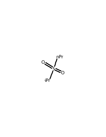 CCCS(=O)(=O)[C](C)C